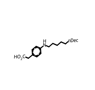 CCCCCCCCCCCCCCCNc1ccc(CC(=O)O)cc1